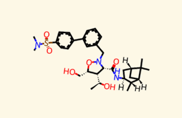 C[C@@H]1[C@@H](NC(=O)[C@@H]2[C@H]([C@H](C)O)[C@H](CO)ON2Cc2cccc(-c3ccc(S(=O)(=O)N(C)C)cc3)c2)C[C@H]2C[C@@H]1C2(C)C